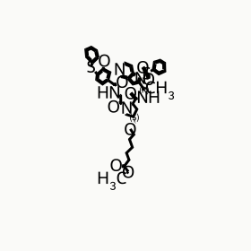 COC(=O)CCCCCOC[C@H]1CC(C(=O)N[C@H](C)c2cc3cnccc3n2S(=O)(=O)c2ccccc2)N(C(=O)CNC(=O)c2ccc3c(c2)Oc2ccccc2S3)C1